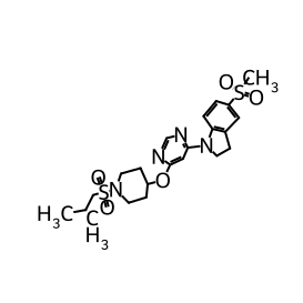 CC(C)CS(=O)(=O)N1CCC(Oc2cc(N3CCc4cc(S(C)(=O)=O)ccc43)ncn2)CC1